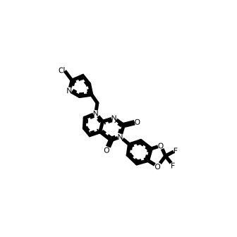 O=c1nc2n(Cc3ccc(Cl)nc3)cccc-2c(=O)n1-c1ccc2c(c1)OC(F)(F)O2